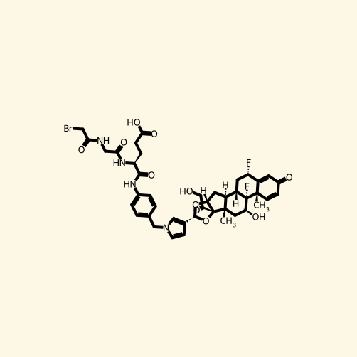 C[C@]12C=CC(=O)C=C1[C@@H](F)C[C@H]1[C@@H]3C[C@H]4O[C@@H](c5ccn(Cc6ccc(NC(=O)[C@H](CCC(=O)O)NC(=O)CNC(=O)CBr)cc6)c5)O[C@@]4(C(=O)CO)[C@@]3(C)C[C@H](O)[C@@]12F